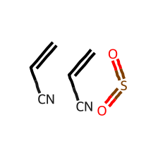 C=CC#N.C=CC#N.O=S=O